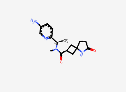 CN(C(=O)C1CC2(CCC(=O)N2)C1)[C@@H](c1ccc(N)cn1)C(F)(F)F